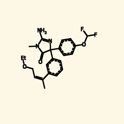 CCOC/C=C(/C)c1cccc(C2(c3ccc(OC(F)F)cc3)N=C(N)N(C)C2=O)c1